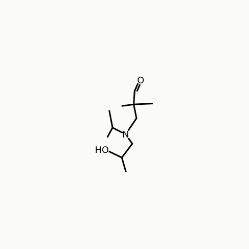 CC(O)CN(CC(C)(C)C=O)C(C)C